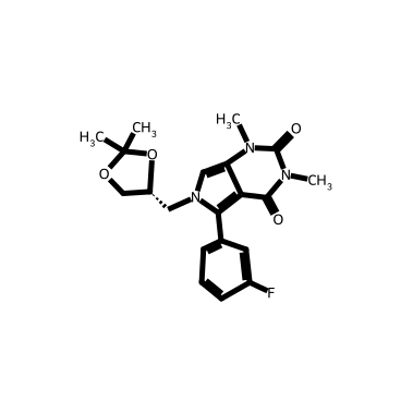 Cn1c(=O)c2c(-c3cccc(F)c3)n(C[C@@H]3COC(C)(C)O3)cc2n(C)c1=O